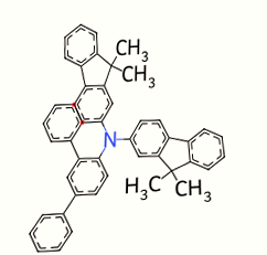 CC1(C)c2ccccc2-c2ccc(N(c3ccc4c(c3)C(C)(C)c3ccccc3-4)c3ccc(-c4ccccc4)cc3-c3ccccc3)cc21